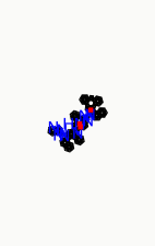 Cc1c2cc3c(c1-c1ccccc1C(C)c1ccccc1-2)c1c2ccccc2ccc1n3-c1nc2c(c(-c3ccccc3-c3ccc4c(c3)c3cc5c(c6c7ccccc7ccc6n5-c5ncc6ncccc6n5)c5c6ccccc6n4c35)n1)NCC=C2